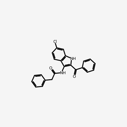 O=C(Cc1ccccc1)Nc1c(C(=O)c2ccccc2)[nH]c2cc(Cl)ccc12